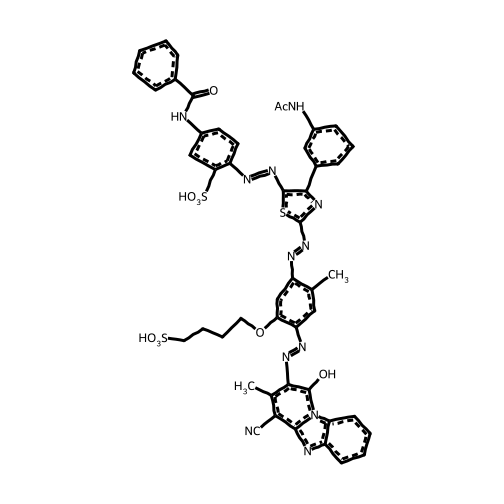 CC(=O)Nc1cccc(-c2nc(N=Nc3cc(OCCCCS(=O)(=O)O)c(N=Nc4c(C)c(C#N)c5nc6ccccc6n5c4O)cc3C)sc2N=Nc2ccc(NC(=O)c3ccccc3)cc2S(=O)(=O)O)c1